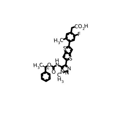 Cc1cc(CC(=O)O)c(F)cc1-c1cc2sc(-c3nnn(C)c3NC(=O)O[C@H](C)c3ccccc3)cc2s1